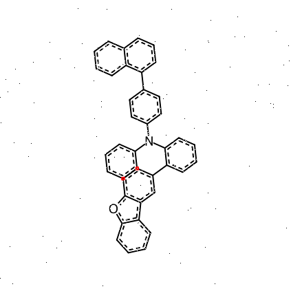 c1ccc(N(c2ccc(-c3cccc4ccccc34)cc2)c2ccccc2-c2ccc3oc4ccccc4c3c2)cc1